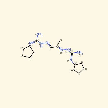 CC(/C=N/NC(N)=NC1CCCC1)=N\NC(N)=NC1CCCC1